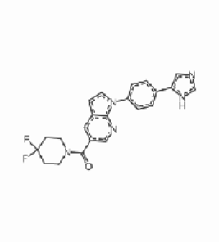 O=C(c1cnc2c(ccn2-c2ccc(-c3cnc[nH]3)cc2)c1)N1CCC(F)(F)CC1